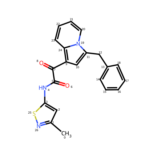 Cc1cc(NC(=O)C(=O)c2cc(Cc3ccccc3)n3ccccc23)sn1